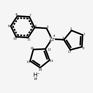 C1=CC[C]([Zr]([CH2]c2ccccc2)[C]2=CC=CC2)=C1.[H-]